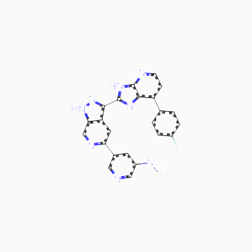 CC(C)Nc1cncc(-c2cc3c(-c4nc5c(-c6ccc(F)cc6)ccnc5[nH]4)n[nH]c3cn2)c1